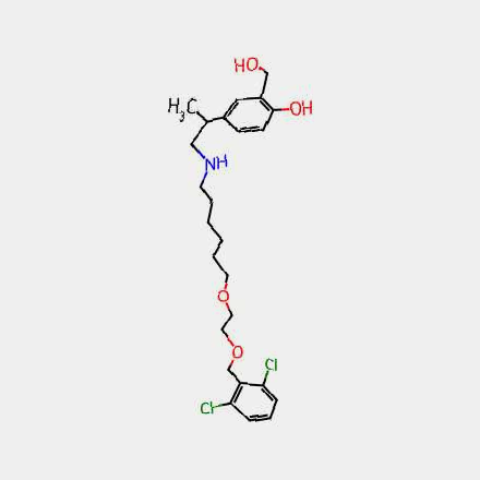 CC(CNCCCCCCOCCOCc1c(Cl)cccc1Cl)c1ccc(O)c(CO)c1